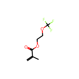 C=C(C)C(=O)OCCOC(F)(F)F